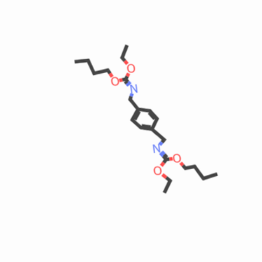 CCCCOC(=NCc1ccc(CN=C(OCC)OCCCC)cc1)OCC